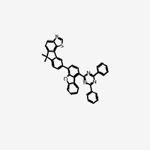 CC1(C)c2ccc(-c3ccc(-c4nc(-c5ccccc5)nc(-c5ccccc5)n4)c4c3oc3ccccc34)cc2-c2c1ccc1ncsc21